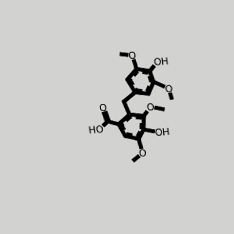 COc1cc(Cc2c(C(=O)O)cc(OC)c(O)c2OC)cc(OC)c1O